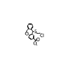 COC(=O)c1ccc2c(c1)C(SCCCl)c1ccccc1CO2